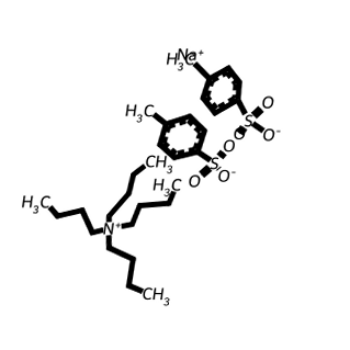 CCCC[N+](CCCC)(CCCC)CCCC.Cc1ccc(S(=O)(=O)[O-])cc1.Cc1ccc(S(=O)(=O)[O-])cc1.[Na+]